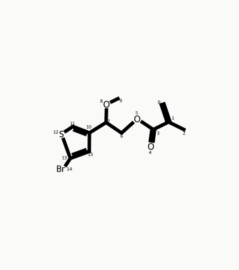 C=C(C)C(=O)OCC(OC)c1csc(Br)c1